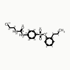 CCCc1ccccc1OS(=O)(=O)c1ccc(NC(=O)NCCCl)cc1